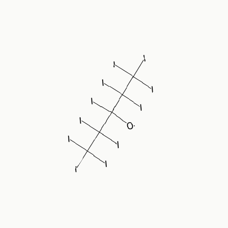 [O]C(I)(C(I)(I)C(I)(I)I)C(I)(I)C(I)(I)I